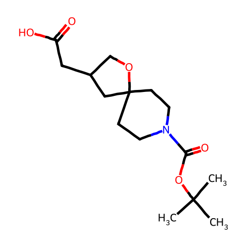 CC(C)(C)OC(=O)N1CCC2(CC1)CC(CC(=O)O)CO2